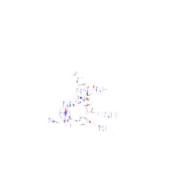 CCC/C=C\c1ccc(C(=O)N[C@@H](CCN)C(=O)N(C)[C@@H]2C(=O)N[C@@H](C)C(=O)N[C@H](C(=O)NCC#N)Cc3ccc(OCCN)c(c3)-c3cc2ccc3OCCN)c(C)c1